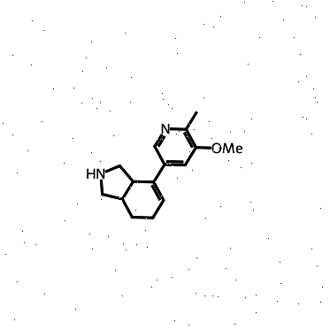 COc1cc(C2=CCCC3CNCC23)cnc1C